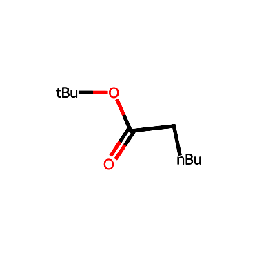 [CH2]C(C)(C)OC(=O)CCCCC